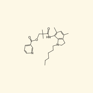 CCCCCCN1CCc2c(C)cc(C)c(NC(=O)C(C)(C)COC(=O)c3cccnc3)c21